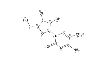 Nc1nc(=O)n([C@@H]2O[C@H](CO)C(O)C2O)cc1C(=O)O